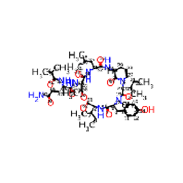 CCC(C)[C@@H]1NC(=O)[C@H](Cc2ccc(O)cc2)N(C)C(=O)[C@H](C(C)CC)N2C=CC[C@H](NC(=O)[C@H](CC(C)C)NC(=O)[C@@H](NC(=O)[C@H](CCC(N)=O)NC(=O)C(C)C)[C@@H](C)OC1=O)C2=O